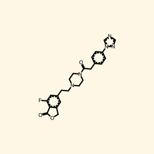 O=C1OCc2cc(CCN3CCN(C(=O)Cc4ccc(-n5cncn5)cc4)CC3)cc(F)c21